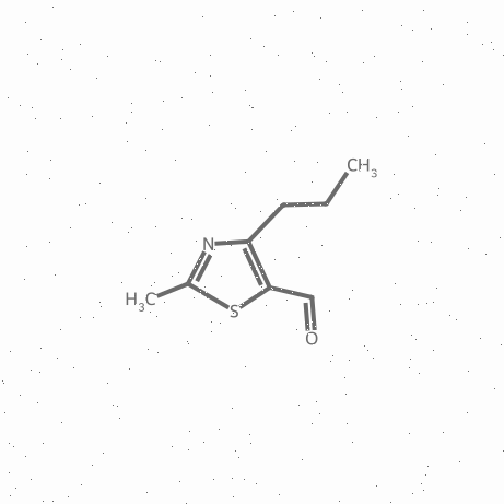 CCCc1nc(C)sc1C=O